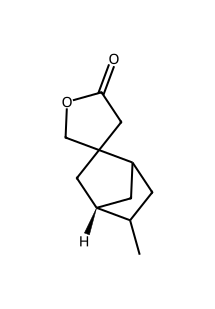 CC1CC2C[C@H]1CC21COC(=O)C1